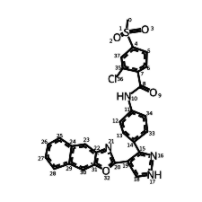 CS(=O)(=O)c1ccc(C(=O)Nc2ccc(-c3n[nH]cc3-c3nc4cc5ccccc5cc4o3)cc2)c(Cl)c1